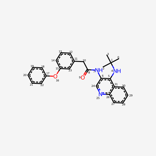 CC(C)(C)Nc1c(NC(=O)Cc2cccc(Oc3ccccc3)c2)cnc2ccccc12